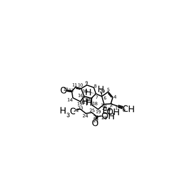 C#C[C@]1(O)C=C[C@H]2[C@@H]3CCC4=CC(=O)CC[C@@H]4[C@H]3CC[C@@]21CC.CCCCC(=O)O